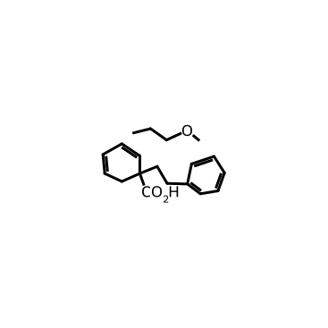 CCCOC.O=C(O)C1(CCc2ccccc2)C=CC=CC1